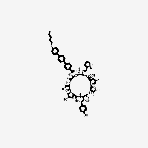 CCCCCOc1ccc(-c2ccc(-c3ccc(C(=O)N[C@H]4C[C@@H](O)[C@@H](OCC5CCC[N+]5(C)C)NC(=O)[C@@H]5[C@@H](O)[C@@H](C)CN5C(=O)[C@H]([C@@H](C)O)NC(=O)[C@H]([C@H](O)[C@@H](O)c5ccc(O)cc5)NC(=O)[C@@H]5C[C@@H](O)CN5C(=O)[C@H]([C@@H](C)O)NC4=O)cc3)cc2)cc1